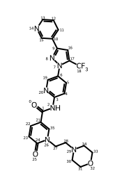 O=C(Nc1ccc(-n2nc(-c3cccnc3)cc2C(F)(F)F)cn1)c1ccc(=O)n(CCN2CCOCC2)c1